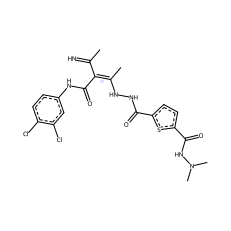 CC(=N)/C(C(=O)Nc1ccc(Cl)c(Cl)c1)=C(\C)NNC(=O)c1ccc(C(=O)NN(C)C)s1